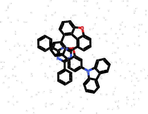 c1ccc(-c2nc(-c3ccccc3)nc(-c3cccc4oc5cccc(-c6cccc7c6oc6cc(-n8c9ccccc9c9ccccc98)ccc67)c5c34)n2)cc1